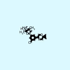 CC1(C)OB(c2cc(Cl)cc(C3=NCC4(CC4)OC3)c2)OC1(C)C